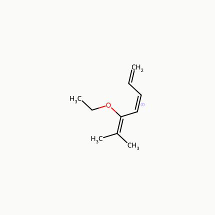 C=C/C=C\C(OCC)=C(C)C